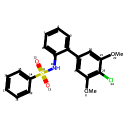 COc1cc(-c2ccccc2NS(=O)(=O)c2ccccc2)cc(OC)c1Cl